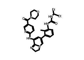 CCC(CC)NC(=O)Nc1cccc(C2=CN3CCN=C3C(Nc3ccc(C(=O)N4CCOCC4)cn3)=C2)c1C